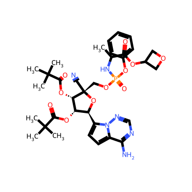 CC(NP(=O)(OC[C@@]1(C#N)O[C@@H](c2ccc3c(N)ncnn23)[C@H](OC(=O)C(C)(C)C)[C@@H]1OC(=O)C(C)(C)C)Oc1ccccc1)C(=O)OC1COC1